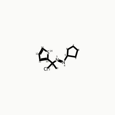 CC(Cl)(N=NC1CCCC1)c1cccs1